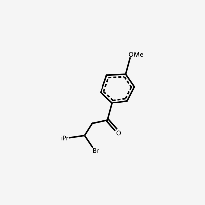 COc1ccc(C(=O)CC(Br)C(C)C)cc1